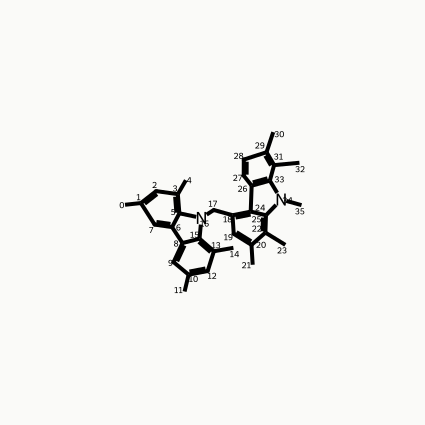 Cc1cc(C)c2c(c1)c1cc(C)cc(C)c1n2Cc1cc(C)c(C)c2c1c1ccc(C)c(C)c1n2C